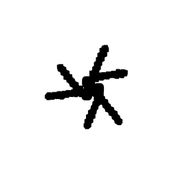 CCCCCCCCCCCCCN(CCCCCCCCCCCCC)CCC(=O)N1CN(C(=O)CCN(CCCCCCCCCCCCC)CCCCCCCCCCCCC)CN(C(=O)CCN(CCCCCCCCCCCCC)CCCCCCCCCCCCC)C1